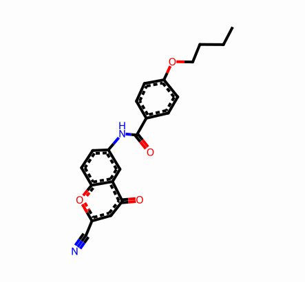 CCCCOc1ccc(C(=O)Nc2ccc3oc(C#N)cc(=O)c3c2)cc1